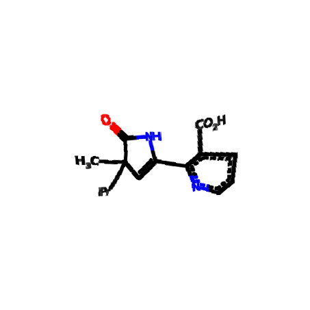 CC(C)C1(C)C=C(c2ncccc2C(=O)O)NC1=O